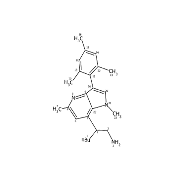 CCCCC(CN)c1cc(C)nc2c(-c3c(C)cc(C)cc3C)cn(C)c12